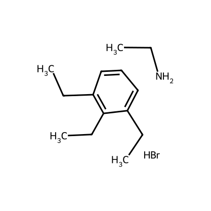 Br.CCN.CCc1cccc(CC)c1CC